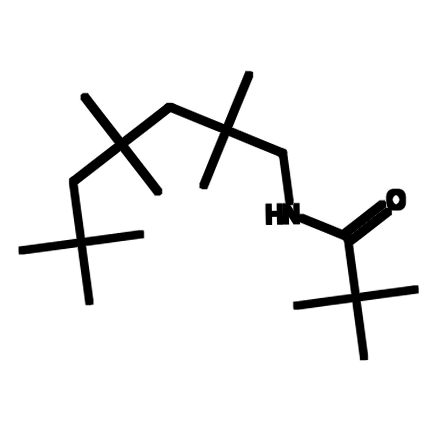 CC(C)(C)CC(C)(C)CC(C)(C)CNC(=O)C(C)(C)C